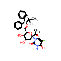 CC(=O)[C@]1(n2cc(F)c(=O)[nH]c2=O)C[C@@H](O)[C@@H](O)[C@@H](CO[Si](c2ccccc2)(c2ccccc2)C(C)(C)C)O1